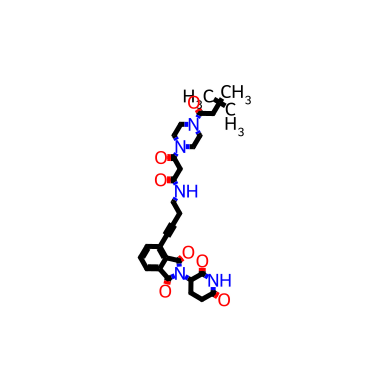 CC(C)(C)CC(=O)N1CCN(C(=O)CC(=O)NCCC#Cc2cccc3c2C(=O)N(C2CCC(=O)NC2=O)C3=O)CC1